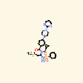 O=C(O)CC(NS(=O)(=O)c1ccccc1)N(CC1CC1)C(=O)c1ccc(N2CCN(c3ncccn3)CC2)cc1